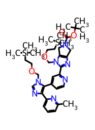 Cc1cccc(-c2ncn(COCC[Si](C)(C)C)c2-c2ccnc(-c3nc4c(n3COCC[Si](C)(C)C)CN(C(=O)OC(C)(C)C)C4)c2)n1